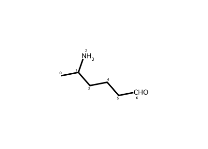 CC(N)CCCC=O